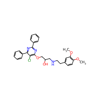 COc1ccc(CCNCC(O)COc2nc(-c3ccccc3)nc(-c3ccccc3)c2Cl)cc1OC